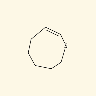 C1=C\SCCCCC/1